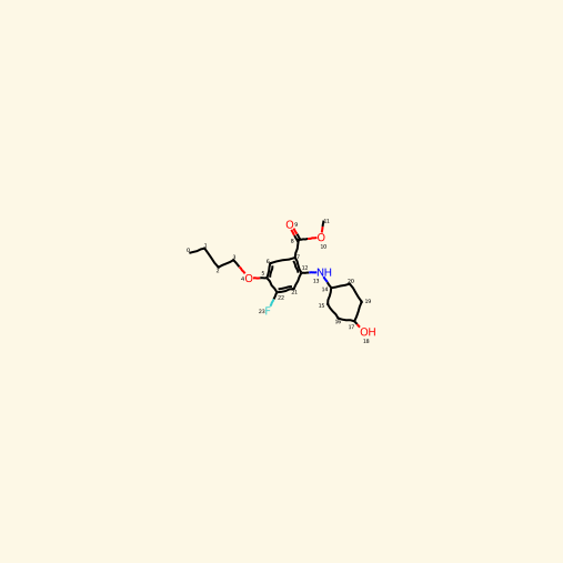 CCCCOc1cc(C(=O)OC)c(NC2CCC(O)CC2)cc1F